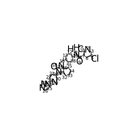 Cc1ncc(Cl)cc1C(=O)N[C@H]1CC[C@H](Cn2c(=O)n(-c3ccc(-n4ccnn4)nc3)c3ccccc32)CC1